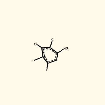 O=[N+]([O-])c1cc(F)c(F)c(Cl)c1Cl